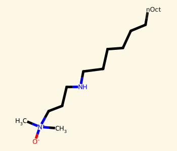 CCCCCCCCCCCCCCNCCC[N+](C)(C)[O-]